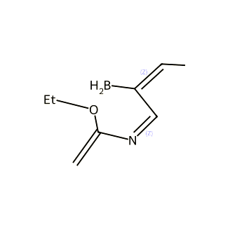 BC(/C=N\C(=C)OCC)=C/C